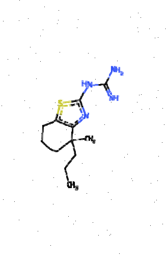 CCCC1(C)CCCc2sc(NC(=N)N)nc21